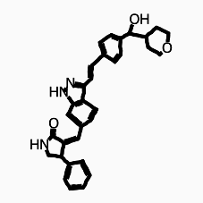 O=C1NCC(c2ccccc2)C1=Cc1ccc2c(/C=C/c3ccc(C(O)C4CCOCC4)cc3)n[nH]c2c1